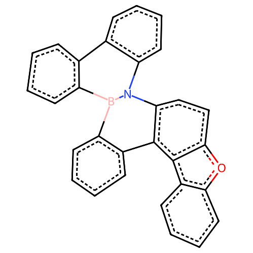 c1ccc2c(c1)B1c3ccccc3-c3c(ccc4oc5ccccc5c34)N1c1ccccc1-2